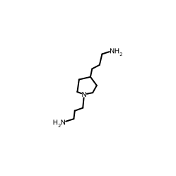 NCCCC1CCN(CCCN)CC1